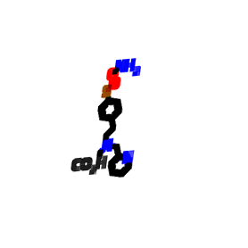 NOOSc1ccc(CCN(CC(=O)O)Cc2ccccn2)cc1